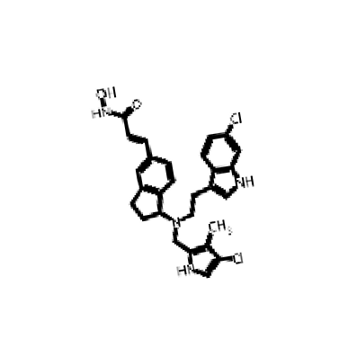 Cc1c(Cl)c[nH]c1CN(CCc1c[nH]c2cc(Cl)ccc12)C1CCc2cc(C=CC(=O)NO)ccc21